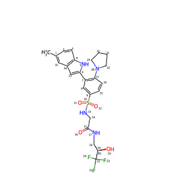 Cc1ccc2[nH]c(-c3cc(S(=O)(=O)NCC(=O)NC[C@@H](O)C(F)(F)F)ccc3N3CCCC3)cc2c1